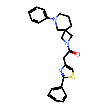 O=C(Cc1csc(-c2ccccc2)n1)N1CC2(CCCN(c3ccccc3)C2)C1